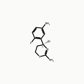 CC[C@@]1(c2cc(N)ccc2F)CCSC(N)=N1